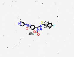 CC(C)(C)OC(=O)NC(CNC(=S)C(C)(C)c1ccc(F)cc1)c1ccc(C(=O)Nc2ccncc2)cc1